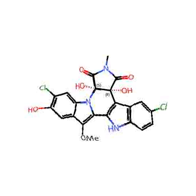 COc1c2n(c3cc(Cl)c(O)cc13)[C@@]1(O)C(=O)N(C)C(=O)[C@@]1(O)c1c-2[nH]c2ccc(Cl)cc12